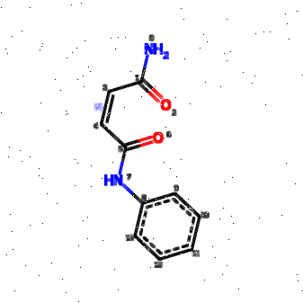 NC(=O)/C=C\C(=O)Nc1ccccc1